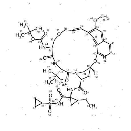 CC[C@@H]1C[C@]1(NC(=O)[C@@H]1C[C@@H]2CN1C(=O)[C@H](C(C)(C)C)NC(=O)[C@@H](NC(=O)OC(C)(C)C)COC/C=C/c1cc3c(nccc3cc1OC)O2)C(=O)NS(=O)(=O)C1CC1